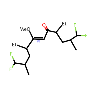 CCC(CC(C)C(F)F)C(=O)/C=C(\OC)C(CC)CC(C)C(F)F